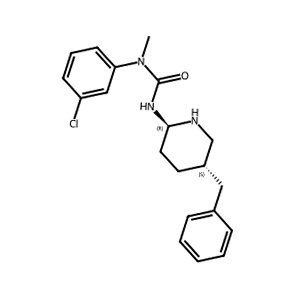 CN(C(=O)N[C@@H]1CC[C@@H](Cc2ccccc2)CN1)c1cccc(Cl)c1